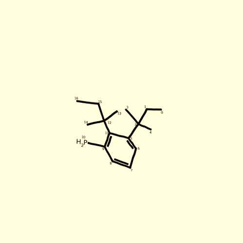 CCC(C)(C)c1cccc(P)c1C(C)(C)CC